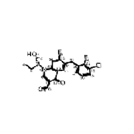 CC[C@@H](CO)n1cc(C=O)c(=O)c2cc(Cc3cccc(Cl)c3F)c(F)cc21